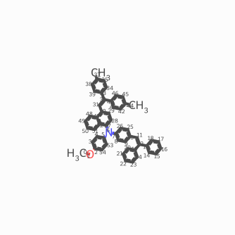 COc1ccc(N(c2ccc(C=C(c3ccccc3)c3ccccc3)cc2)c2ccc(C=C(c3ccc(C)cc3)c3ccc(C)cc3)c3ccccc23)cc1